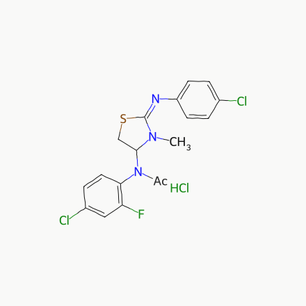 CC(=O)N(c1ccc(Cl)cc1F)C1CSC(=Nc2ccc(Cl)cc2)N1C.Cl